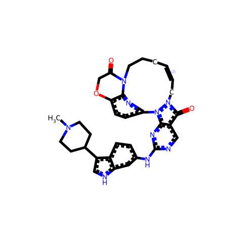 CN1CCC(c2c[nH]c3cc(Nc4ncc5c(=O)n6n(c5n4)-c4ccc5c(n4)N(CCC/C=C\C6)C(=O)CO5)ccc23)CC1